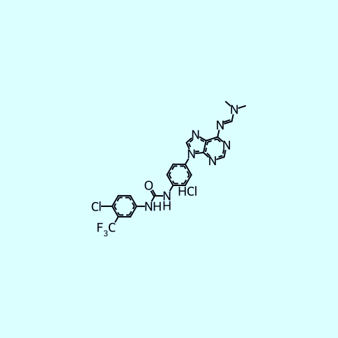 CN(C)C=Nc1ncnc2c1ncn2-c1ccc(NC(=O)Nc2ccc(Cl)c(C(F)(F)F)c2)cc1.Cl